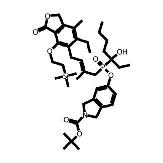 CCCCC(O)(CC)P(=O)(C/C(C)=C/Cc1c(CC)c(C)c2c(c1OCC[Si](C)(C)C)C(=O)OC2)Oc1ccc2c(c1)CN(C(=O)OC(C)(C)C)C2